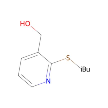 CCC(C)Sc1ncccc1CO